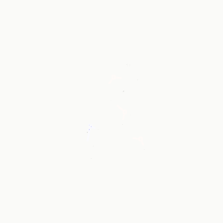 [2H]OC1C=C[C@@]2([2H])[C@@]3([2H])Cc4ccc(OC([2H])([2H])[2H])c5c4[C@@]2(CCN3C)C1([2H])O5